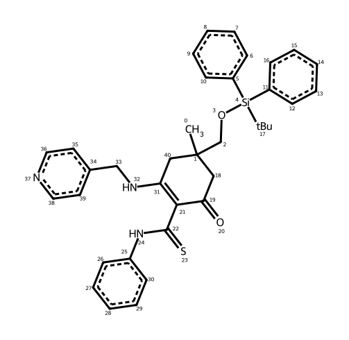 CC1(CO[Si](c2ccccc2)(c2ccccc2)C(C)(C)C)CC(=O)C(C(=S)Nc2ccccc2)=C(NCc2ccncc2)C1